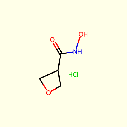 Cl.O=C(NO)C1COC1